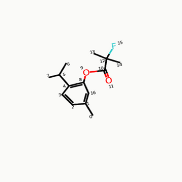 Cc1ccc(C(C)C)c(OC(=O)C(C)(C)F)c1